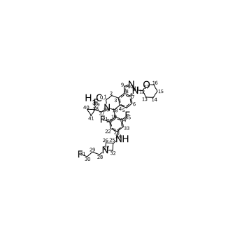 C[C@@H]1Cc2c(ccc3c2cnn3C2CCCCO2)[C@@H](c2c(F)cc(NC3CN(CCCF)C3)cc2F)N1CC1(F)CC1